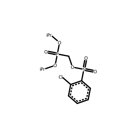 CC(C)OP(=O)(COS(=O)(=O)c1ccccc1Cl)OC(C)C